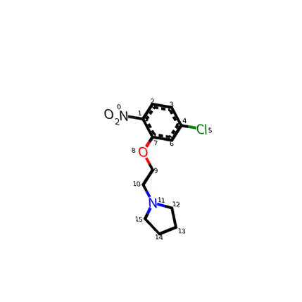 O=[N+]([O-])c1ccc(Cl)cc1OCCN1CCCC1